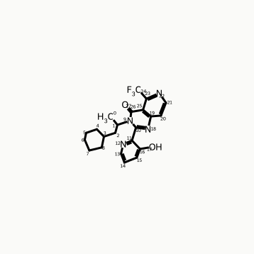 CC(CC1CCCCC1)n1c(-c2ncccc2O)nc2ccnc(C(F)(F)F)c2c1=O